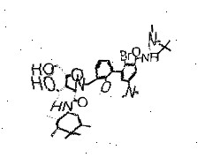 COc1c(CN2O[C@@H](CO)[C@@H]([C@H](C)O)[C@H]2C(=O)N[C@H]2C[C@@H](C)C(C)(C)[C@@H](C)[C@@H]2C)cccc1-c1cc(N(C)C)cc(C(=O)N[C@H](CN(C)C)CC(C)(C)C)c1Br